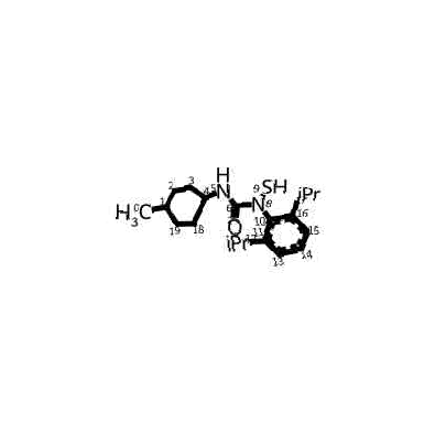 CC1CCC(NC(=O)N(S)c2c(C(C)C)cccc2C(C)C)CC1